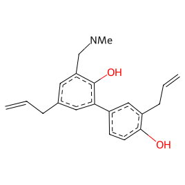 C=CCc1cc(CNC)c(O)c(-c2ccc(O)c(CC=C)c2)c1